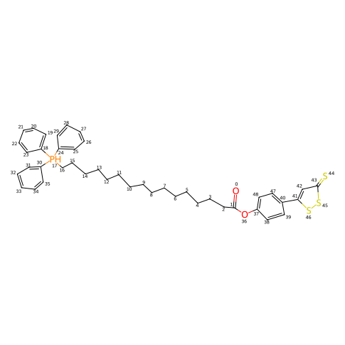 O=C(CCCCCCCCCCCCCCC[PH](c1ccccc1)(c1ccccc1)c1ccccc1)Oc1ccc(-c2cc(=S)ss2)cc1